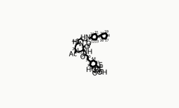 CC(=O)N1CC[C@H]2CC[C@@H](C(=O)Nc3ccc(-c4ccccc4)cc3)N2C(=O)C(NC(=O)/C=C/c2ccc(C(F)(F)P(=O)(O)O)cc2)C1